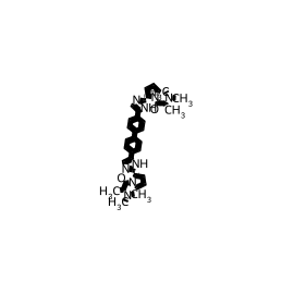 CC(C(=O)N1CCC[C@H]1c1ncc(-c2ccc(-c3ccc(-c4cnc([C@@H]5CCCN5C(=O)C(C)N(C)C)[nH]4)cc3)cc2)[nH]1)N(C)C